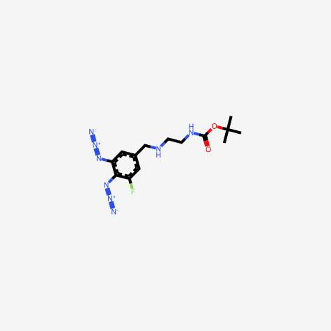 CC(C)(C)OC(=O)NCCNCc1cc(F)c(N=[N+]=[N-])c(N=[N+]=[N-])c1